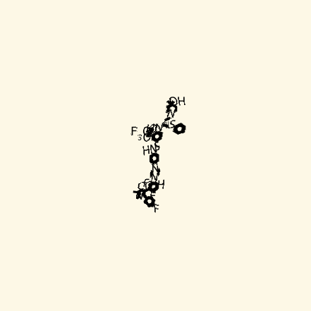 Cc1c(C(=O)O)c(-c2c(F)ccc(N3CCN(c4ccc(NSc5ccc(N[C@H](CCN6CCC(C)(O)CC6)CSc6ccccc6)c(S(=O)(=O)C(F)(F)F)c5)cc4)CC3)c2F)c(-c2ccc(F)cc2)n1C